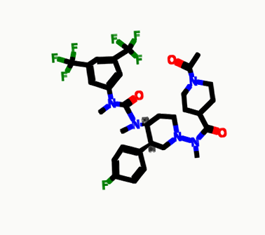 CC(=O)N1CCC(C(=O)N(C)N2CC[C@@H](N(C)C(=O)N(C)c3cc(C(F)(F)F)cc(C(F)(F)F)c3)[C@H](c3ccc(F)cc3)C2)CC1